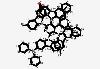 Cc1ccc2c(c1)c1cc(C)ccc1n2-c1nc(-n2c3ccccc3c3cc(N(c4ccccc4)c4ccccc4)ccc32)c(-n2c3ccc(C)cc3c3cc(C)ccc32)c(-c2cc(-c3ccccc3)nc(-c3ccccc3)c2)c1-n1c2ccc(C)cc2c2cc(C)ccc21